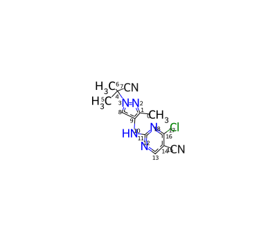 Cc1nn(C(C)(C)C#N)cc1Nc1ncc(C#N)c(Cl)n1